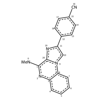 CNc1nc2ccccc2n2cc(-c3ccc(C#N)cc3)nc12